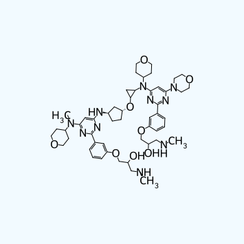 CNCC(O)COc1cccc(-c2nc(N[C@@H]3CC[C@@H](OC4CC4N(c4cc(N5CCOCC5)nc(-c5cccc(OCC(O)CNC)c5)n4)C4CCOCC4)C3)cc(N(C)C3CCOCC3)n2)c1